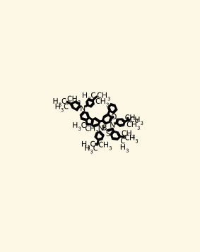 CC(C)(C)c1ccc(N2B3c4sc5ccc(C(C)(C)C)cc5c4N(c4ccc(C(C)(C)C)cc4)c4c3c(cc3c4oc4ccccc43)-c3cc4c(cc32)C(C)(C)c2ccc(N(c3ccc(C(C)(C)C)cc3)c3ccc(C(C)(C)C)cc3)cc2-4)cc1